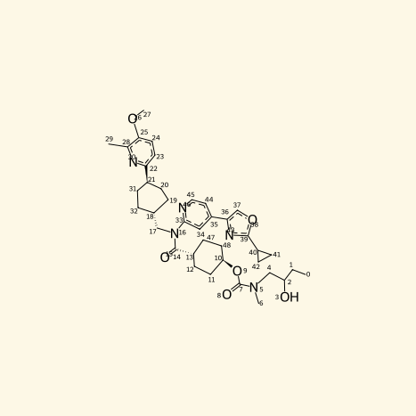 CCC(O)CN(C)C(=O)O[C@H]1CC[C@H](C(=O)N(C[C@H]2CC[C@H](c3ccc(OC)c(C)n3)CC2)c2cc(-c3coc(C4CC4)n3)ccn2)CC1